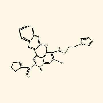 O=C(c1cn2c3c(c(NCCCn4ccnc4)c(F)cc3c1=O)Oc1cc3ccccc3cc1-2)N1CCCC1